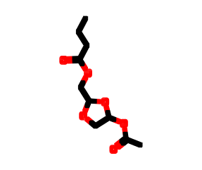 CCCC(=O)OCC1OCC(OC(C)=O)O1